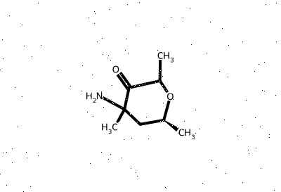 CC1O[C@@H](C)CC(C)(N)C1=O